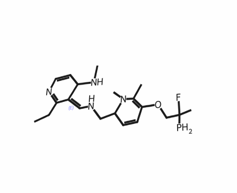 CCC1=NC=CC(NC)/C1=C\NCC1C=CC(OCC(C)(F)P)=C(C)N1C